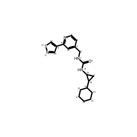 O=C(NCc1ccnc(-c2cnsc2)c1)NC1CC1C1CCCCC1